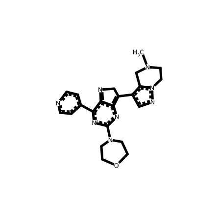 CN1CCn2ncc(C3=c4nc(N5CCOCC5)nc(-c5ccncc5)c4=NC3)c2C1